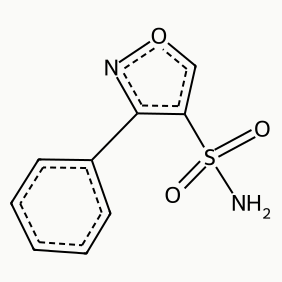 NS(=O)(=O)c1conc1-c1ccccc1